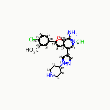 Cl.Nc1ncc(-c2cnn(C3CCNCC3)c2)c2cc(-c3ccc(Cl)c(C(=O)O)c3)oc12